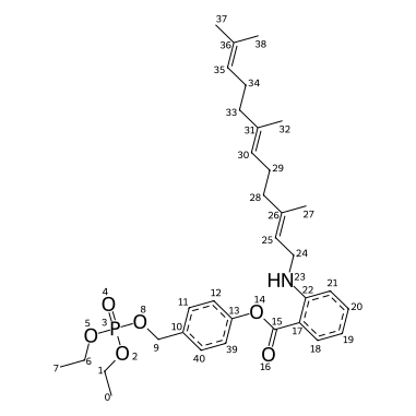 CCOP(=O)(OCC)OCc1ccc(OC(=O)c2ccccc2NC/C=C(\C)CC/C=C(\C)CCC=C(C)C)cc1